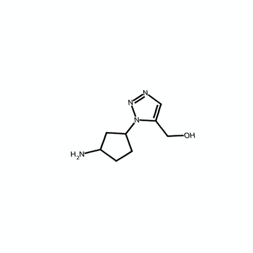 NC1CCC(n2nncc2CO)C1